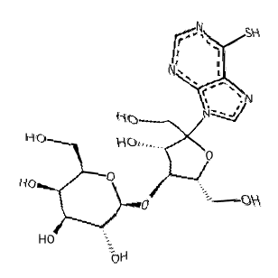 OC[C@H]1O[C@@H](O[C@@H]2[C@@H](CO)OC(CO)(n3cnc4c(S)ncnc43)[C@H]2O)[C@H](O)[C@@H](O)[C@H]1O